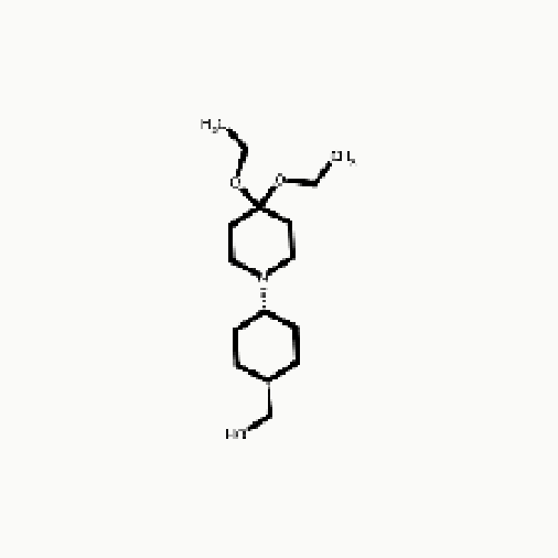 CCOC1(OCC)CCN([C@H]2CC[C@H](CO)CC2)CC1